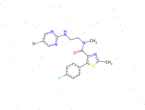 Cc1nc(C(=O)N(C)CCNc2ncc(Br)cn2)c(-c2ccc(F)cc2)s1